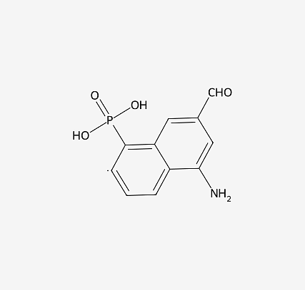 Nc1cc(C=O)cc2c(P(=O)(O)O)[c]ccc12